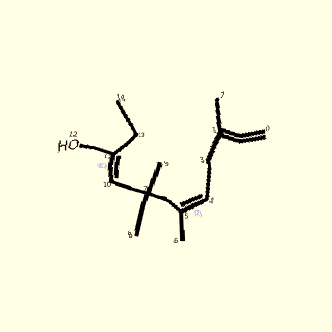 C=C(C)C/C=C(/C)C(C)(C)/C=C(/O)CC